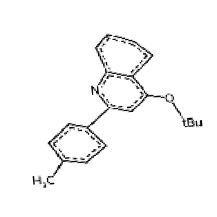 Cc1ccc(-c2cc(OC(C)(C)C)c3ccccc3n2)cc1